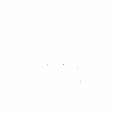 NC1CCN(C(=O)CN(CC(=O)NCc2cccc(O)c2)c2cccc(Oc3ccccc3)c2)C1